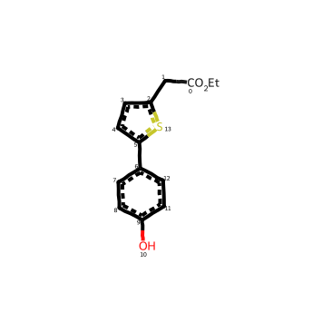 CCOC(=O)Cc1ccc(-c2ccc(O)cc2)s1